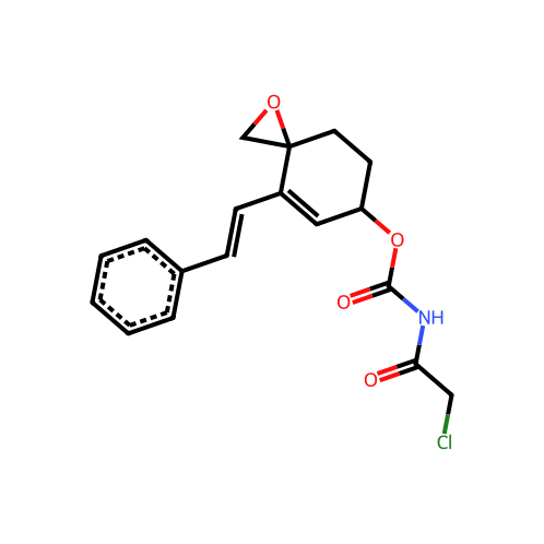 O=C(CCl)NC(=O)OC1C=C(C=Cc2ccccc2)C2(CC1)CO2